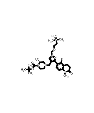 C[C@@H]1CN(Cc2cn(COCC[Si](C)(C)C)nc2-c2ccc3c(c2F)CCC(=O)N3C)CCN1C(=O)OC(C)(C)C